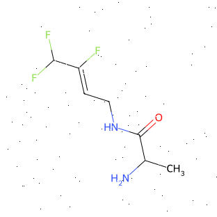 CC(N)C(=O)NC/C=C(\F)C(F)F